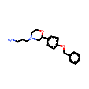 NCCCN1CCOC(c2ccc(OCc3ccccc3)cc2)C1